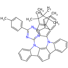 Cc1ccc(-c2nc(-c3ccccc3)nc(-n3c4ccccc4c4ccc5c6ccccc6n(-c6ccc7c(c6)C(C)(C)C(C)(C)C7(C)C)c5c43)n2)cc1